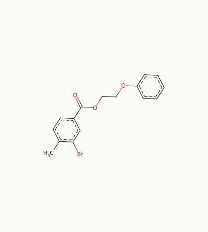 Cc1ccc(C(=O)OCCOc2ccccc2)cc1Br